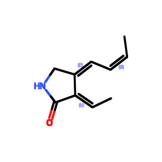 C\C=C/C=C1/CNC(=O)/C1=C/C